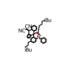 CCC(C)CCCc1ccc2c(c1)C1(c3ccccc3C(=C(C#N)C#N)c3ccccc31)c1cc(CCCC(C)CC)ccc1N2c1ccccc1